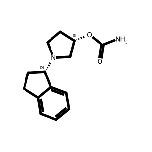 NC(=O)O[C@H]1CCN([C@H]2CCc3ccccc32)C1